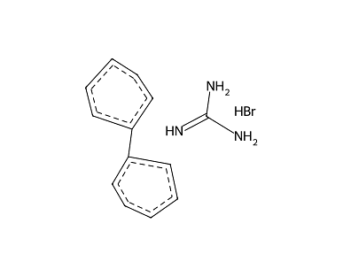 Br.N=C(N)N.c1ccc(-c2ccccc2)cc1